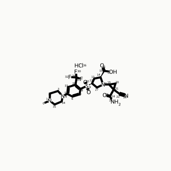 CN1CCN(c2ccc(S(=O)(=O)[C@@H]3C[C@@H](C(=O)O)N(C4CC4(C#N)C(N)=O)C3)c(C(F)(F)F)c2)CC1.Cl